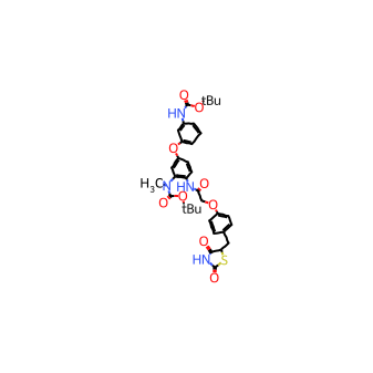 CN(C(=O)OC(C)(C)C)c1cc(Oc2cccc(NC(=O)OC(C)(C)C)c2)ccc1NC(=O)COc1ccc(CC2SC(=O)NC2=O)cc1